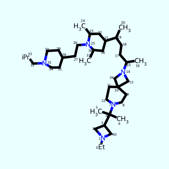 CCN1CC(C(C)(C)N2CCC3(CC2)CN(C(C)CCC(C)C2CC(C)N(CCC4CCN(CC(C)C)CC4)C(C)C2)C3)C1